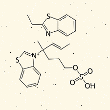 CC=CC(C)(CCCOS(=O)(=O)O)[n+]1csc2ccccc21.CCc1nc2ccccc2s1